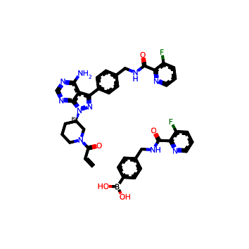 C=CC(=O)N1CCC[C@@H](n2nc(-c3ccc(CNC(=O)c4ncccc4F)cc3)c3c(N)ncnc32)C1.O=C(NCc1ccc(B(O)O)cc1)c1ncccc1F